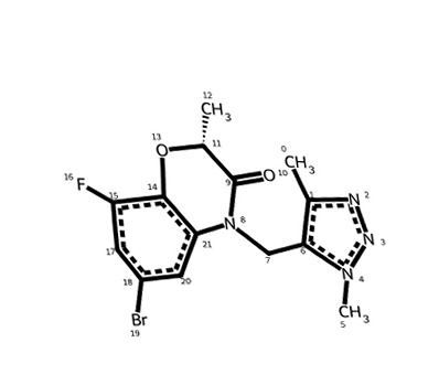 Cc1nnn(C)c1CN1C(=O)[C@@H](C)Oc2c(F)cc(Br)cc21